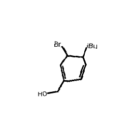 CCC(C)C1C=CC(CO)=CC1Br